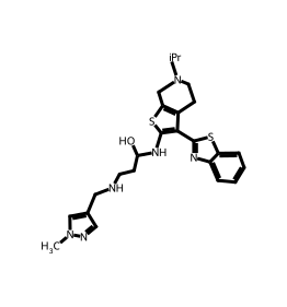 CC(C)N1CCc2c(sc(NC(O)CCNCc3cnn(C)c3)c2-c2nc3ccccc3s2)C1